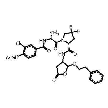 CC(=O)Nc1ccc(C(=O)N[C@@H](C)C(=O)N2CC(F)(F)C[C@H]2C(=O)NC2CC(=O)OC2OCCc2ccccc2)cc1Cl